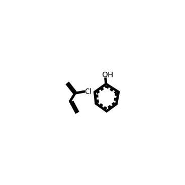 C=CC(=C)Cl.Oc1ccccc1